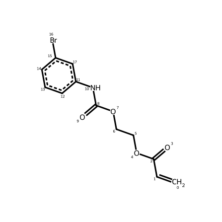 C=CC(=O)OCCOC(=O)Nc1cccc(Br)c1